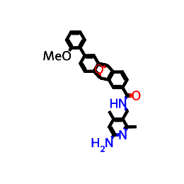 COc1ccccc1-c1ccc2c(c1)c1oc2c2cc(C(=O)NCc3c(C)cc(N)nc3C)ccc21